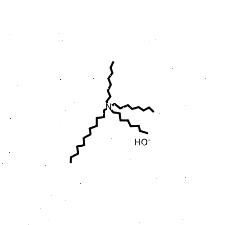 CCCCCCCCCCCC[N+](CCCCCCCC)(CCCCCCCC)CCCCCCCC.[OH-]